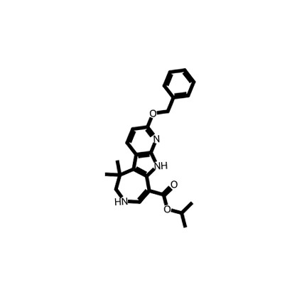 CC(C)OC(=O)C1=CNCC(C)(C)c2c1[nH]c1nc(OCc3ccccc3)ccc21